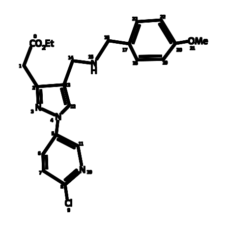 CCOC(=O)Cc1nn(-c2ccc(Cl)nc2)cc1CNCc1ccc(OC)cc1